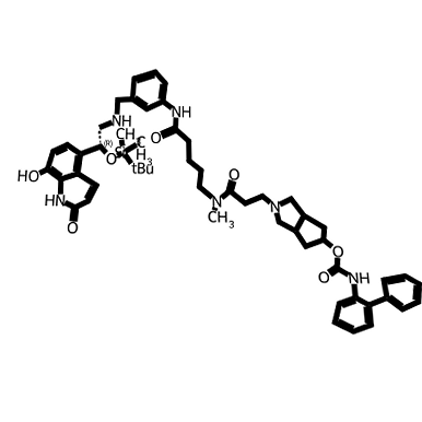 CN(CCCCC(=O)Nc1cccc(CNC[C@H](O[Si](C)(C)C(C)(C)C)c2ccc(O)c3[nH]c(=O)ccc23)c1)C(=O)CCN1CC2CC(OC(=O)Nc3ccccc3-c3ccccc3)CC2C1